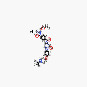 COCCN(C)C(=O)c1ccc(C(=O)N2CCN(c3ccc(OC4CCN(C5CCC5)CC4)cc3)C(=O)C2)cc1